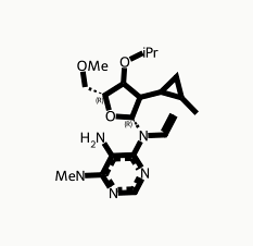 C=CN(c1ncnc(NC)c1N)[C@@H]1O[C@H](COC)C(OC(C)C)C1C1CC1C